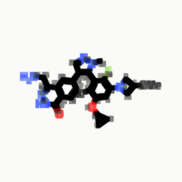 COC1CN(c2cc(OC3CC3)c(C#N)c(-c3c(-c4ccc5c(=O)[nH]nc(CN)c5c4)cnn3C)c2F)C1